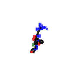 NN=C(N)NCCCCNC(=O)c1cn2c3c(c(NCCN4CCOCC4)c(F)cc3c1=O)Oc1ccccc1-2